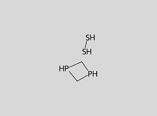 C1PCP1.SS